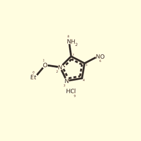 CCOn1ncc(N=O)c1N.Cl